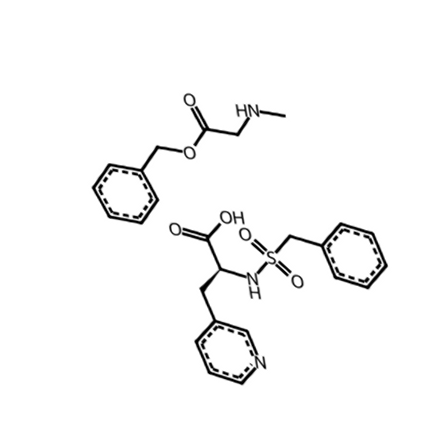 CNCC(=O)OCc1ccccc1.O=C(O)[C@H](Cc1cccnc1)NS(=O)(=O)Cc1ccccc1